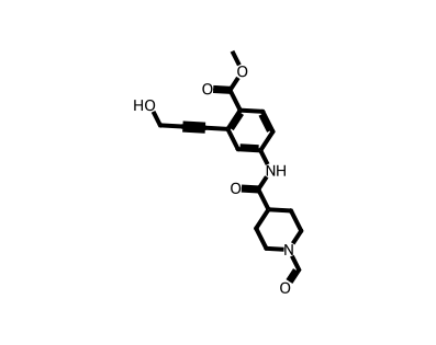 COC(=O)c1ccc(NC(=O)C2CCN(C=O)CC2)cc1C#CCO